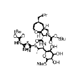 CSC1O[C@H]([C@H](NC(=O)[C@@H]2[C@@H]3OCC[C@@H](CC(C)C)C[C@H]3CN2C(=O)OC(C)(C)C)[C@H](C)Sc2nnc(NC(=O)OC(C)(C)C)s2)C(O)C(O)[C@H]1O